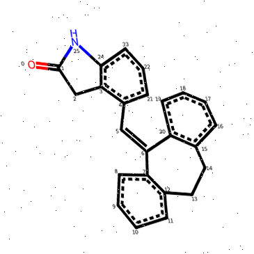 O=C1Cc2c(C=C3c4ccccc4CCc4ccccc43)cccc2N1